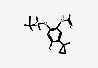 CC(=O)Nc1cc(C2(C)CC2)c(Cl)cc1O[Si](C)(C)C(C)(C)C